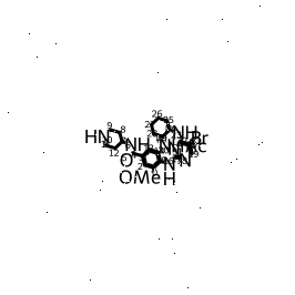 COc1cc(C(=O)NC2CCNCC2)ccc1Nc1ncc(Br)c(N[C@@H]2CCCC[C@H]2NC(C)=O)n1